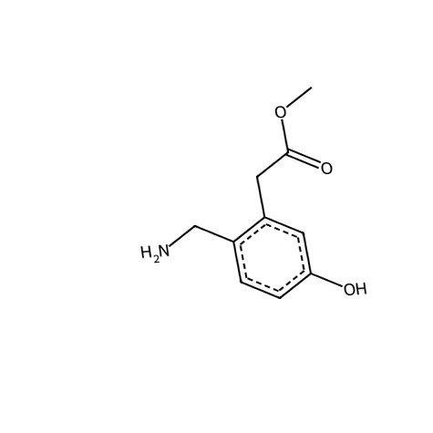 COC(=O)Cc1cc(O)ccc1CN